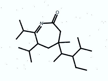 CCC(C(C)C)C(C)C1(C)CC(=O)N=C(C(C)C)C(C(C)C)C1